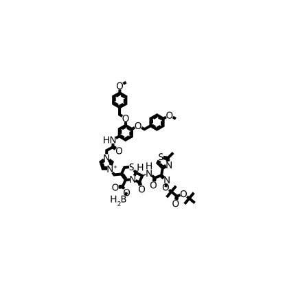 BOC(=O)C1=C(C[n+]2ccn(CC(=O)Nc3ccc(OCc4ccc(OC)cc4)c(OCc4ccc(OC)cc4)c3)c2)CS[C@@H]2[C@H](NC(=O)/C(=N\OC(C)(C)C(=O)OC(C)(C)C)c3csc(C)n3)C(=O)N12